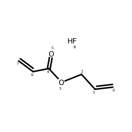 C=CCOC(=O)C=C.F